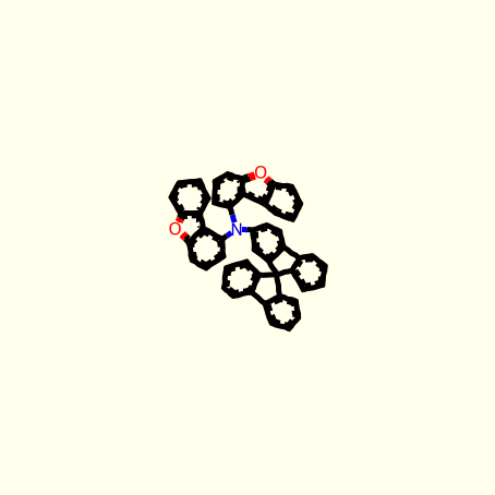 c1ccc2c(c1)-c1ccccc1C21c2ccccc2-c2ccc(N(c3cccc4oc5ccccc5c34)c3cccc4oc5ccccc5c34)cc21